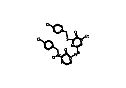 CCn1cc(Br)nc(SCc2ccc(Cl)cc2)c1=O.CCn1ccnc([S+]([O-])Cc2ccc(Cl)cc2)c1=O